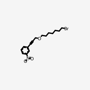 O=[N+]([O-])c1cccc(C#CCOCCCCCCCBr)c1